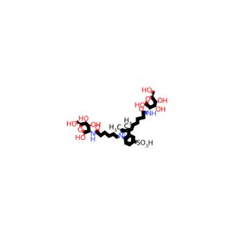 CC1=[N+](CCCCCC(=O)N[C@H]2[C@H](O)[C@@H](O)[C@H](CO)O[C@@H]2O)c2ccc(S(=O)(=O)O)cc2C1(C)CCCCCC(=O)N[C@H]1[C@H](O)[C@@H](O)[C@H](CO)O[C@@H]1O